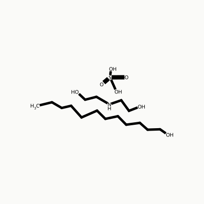 CCCCCCCCCCCCO.O=S(=O)(O)O.OCCNCCO